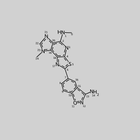 CNc1nc2sc(-c3ccc4onc(N)c4c3)nc2c2c1ncn2C